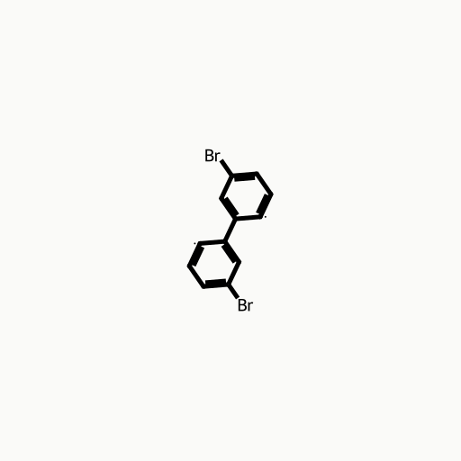 Brc1cc[c]c(-c2[c]ccc(Br)c2)c1